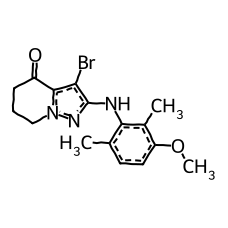 COc1ccc(C)c(Nc2nn3c(c2Br)C(=O)CCC3)c1C